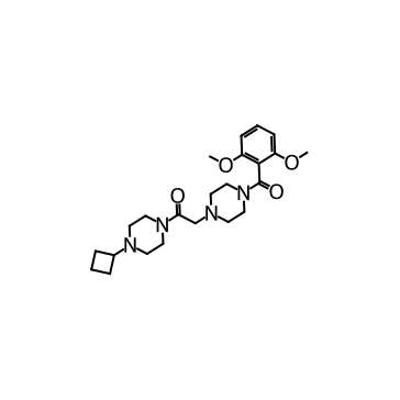 COc1cccc(OC)c1C(=O)N1CCN(CC(=O)N2CCN(C3CCC3)CC2)CC1